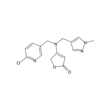 Cn1cc(CN(Cc2ccc(Cl)nc2)C2=CC(=O)OC2)cn1